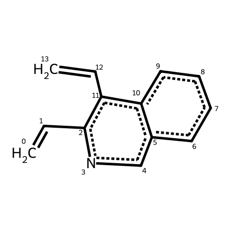 C=Cc1ncc2ccccc2c1C=C